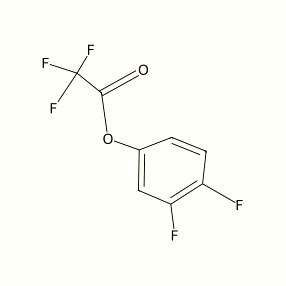 O=C(Oc1ccc(F)c(F)c1)C(F)(F)F